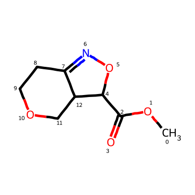 COC(=O)C1ON=C2CCOCC21